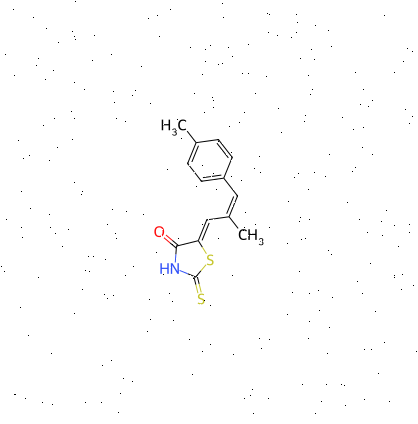 CC(=Cc1ccc(C)cc1)C=C1SC(=S)NC1=O